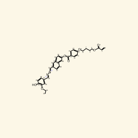 C=CC(=O)OCCCCOc1ccc(C(=O)Oc2ccc3cc(/C=N/N=C/c4ccc(O)c(OCC)c4)ccc3c2)cc1